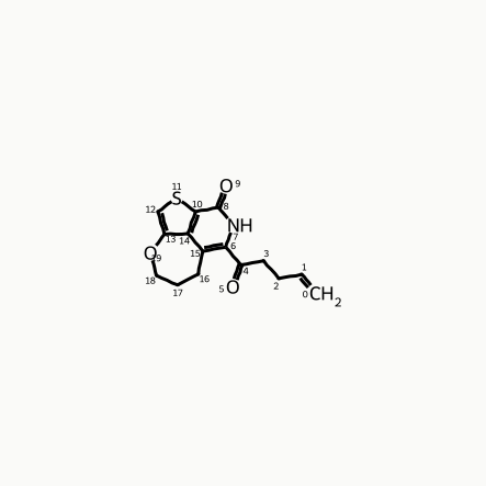 C=CCCC(=O)c1[nH]c(=O)c2scc3c2c1CCCO3